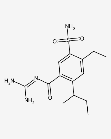 CCc1cc(C(C)CC)c(C(=O)N=C(N)N)cc1S(N)(=O)=O